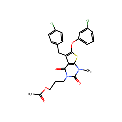 CC(=O)OCCCn1c(=O)c2c(Cc3ccc(Cl)cc3)c(Oc3cccc(Cl)c3)sc2n(C)c1=O